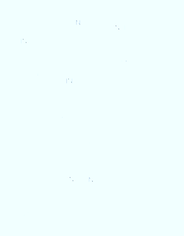 CSc1c(Nc2cc(NC(=O)C3CC3)nc3cc[nH]c(=O)c23)cccc1-c1cnn(C2CCOCC2)c1